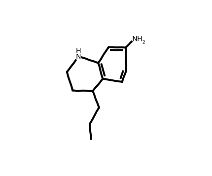 CCCC1CCNc2cc(N)ccc21